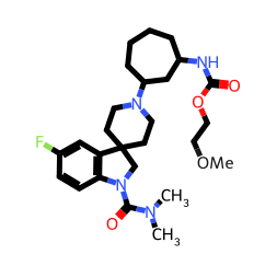 COCCOC(=O)NC1CCCCC(N2CCC3(CC2)CN(C(=O)N(C)C)c2ccc(F)cc23)C1